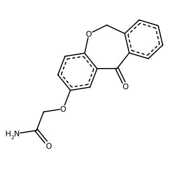 NC(=O)COc1ccc2c(c1)C(=O)c1ccccc1CO2